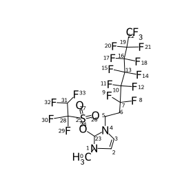 CN1C=CN(CCC(F)(F)C(F)(F)C(F)(F)C(F)(F)C(F)(F)C(F)(F)F)C1OS(=O)(=O)C(F)(F)C(F)F